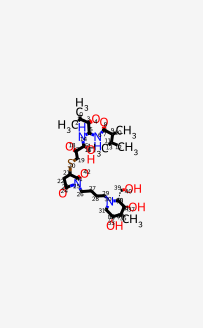 CC(C)C(=O)C(NC(=O)C(C)C(C)C)NC(O)C(=O)CSC1CC(=O)N(CCCCN2C[C@@H](O)[C@@H](C)[C@H](O)[C@H]2CO)C1=O